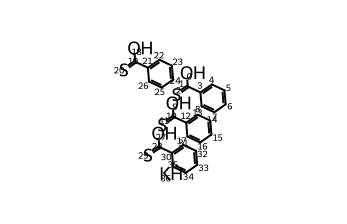 OC(=S)c1ccccc1.OC(=S)c1ccccc1.OC(=S)c1ccccc1.OC(=S)c1ccccc1.[KH]